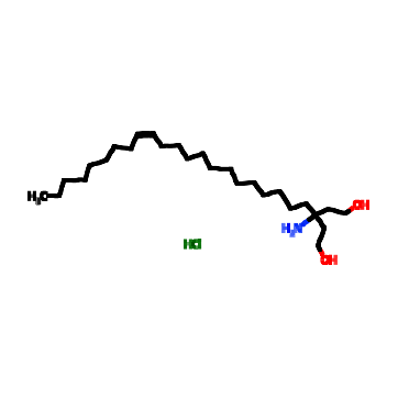 CCCCCCCC/C=C\CCCCCCCCCCCCC(N)(CCO)CCO.Cl